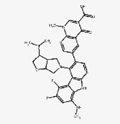 CNc1cc(F)c(F)c2c1[nH]c1ncc(-c3cnc4c(c3)c(=O)c(C(=O)O)cn4C)c(N3CC4OCC(N(C)C)C4C3)c12